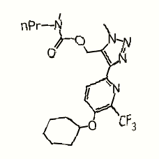 CCCN(C)C(=O)OCc1c(-c2ccc(OC3CCCCC3)c(C(F)(F)F)n2)nnn1C